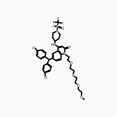 COCCOCCOCCOCCn1c(=O)cc(NC2CCN(S(=O)(=O)C(F)(F)F)CC2)c2cc(C(c3ccc(Cl)cc3)c3ccc(Cl)cc3)ccc21